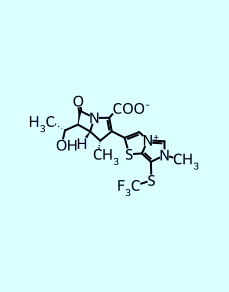 C[C@@H](O)[C@H]1C(=O)N2C(C(=O)[O-])=C(c3c[n+]4cn(C)c(SC(F)(F)F)c4s3)[C@H](C)[C@H]12